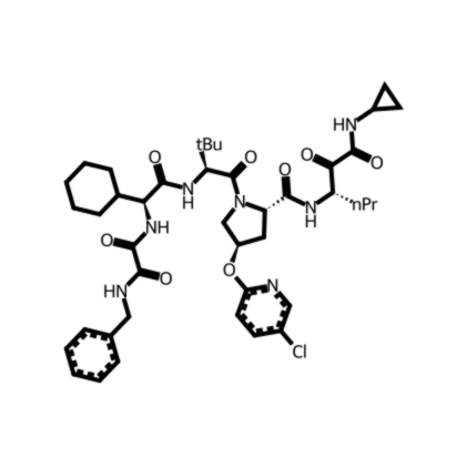 CCC[C@H](NC(=O)[C@@H]1C[C@@H](Oc2ccc(Cl)cn2)CN1C(=O)[C@@H](NC(=O)[C@@H](NC(=O)C(=O)NCc1ccccc1)C1CCCCC1)C(C)(C)C)C(=O)C(=O)NC1CC1